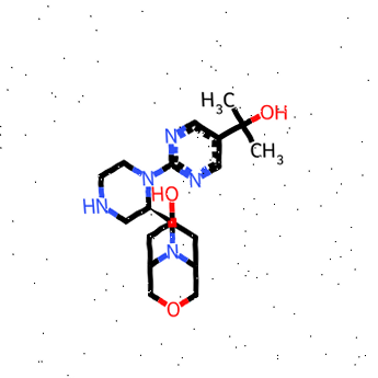 CC(C)(O)c1cnc(N2CCNC[C@@H]2CN2C3COCC2CC(O)C3)nc1